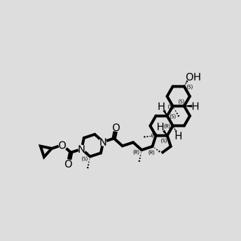 C[C@H](CCC(=O)N1CCN(C(=O)OC2CC2)[C@@H](C)C1)[C@H]1CC[C@H]2[C@@H]3CC[C@H]4C[C@@H](O)CC[C@]4(C)[C@H]3CC[C@]12C